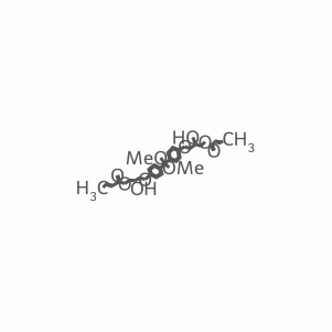 CC=CC(=O)OCC(O)COc1ccc(C(OC)(OC)c2ccc(OCC(O)COC(=O)C=CC)cc2)cc1